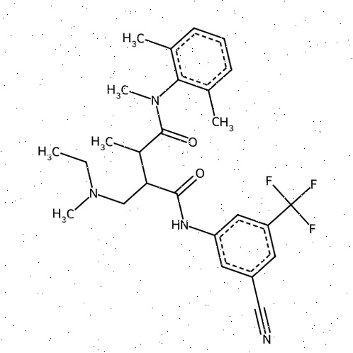 CCN(C)CC(C(=O)Nc1cc(C#N)cc(C(F)(F)F)c1)C(C)C(=O)N(C)c1c(C)cccc1C